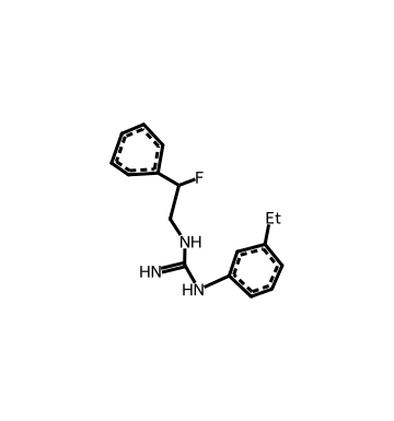 CCc1cccc(NC(=N)NCC(F)c2ccccc2)c1